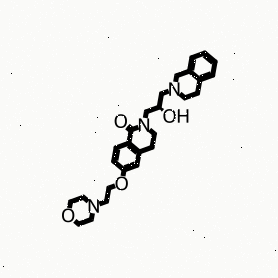 O=C1c2ccc(OCCN3CCOCC3)cc2CCN1C[C@H](O)CN1CCc2ccccc2C1